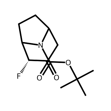 CC(C)(C)OC(=O)N1C2CCC1[C@@H](F)C(=O)C2